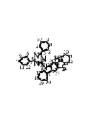 c1ccc(-c2nc(-c3ccccc3)nc(-n3c4ccccc4c4cc5c(cc43)[C@H]3CCCCC3S5)n2)cc1